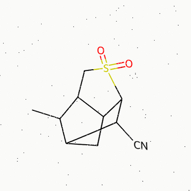 CC1C2CC3C1CS(=O)(=O)C3C2C#N